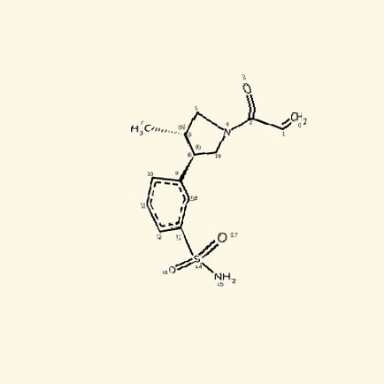 C=CC(=O)N1C[C@@H](C)[C@H](c2cccc(S(N)(=O)=O)c2)C1